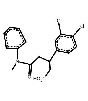 CN(C(=O)CC(CC(=O)O)c1ccc(Cl)c(Cl)c1)c1ccccc1